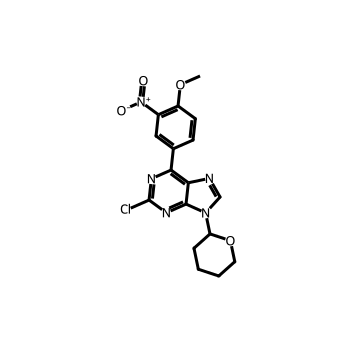 COc1ccc(-c2nc(Cl)nc3c2ncn3C2CCCCO2)cc1[N+](=O)[O-]